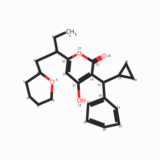 CCC(CC1CCCCO1)c1cc(O)c(C(c2ccccc2)C2CC2)c(=O)o1